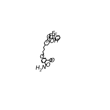 NC(=O)c1ccc(OCCCCC2CCN(C(=O)C(O)(c3ccccc3)C(F)(F)F)CC2)cc1C1COC1